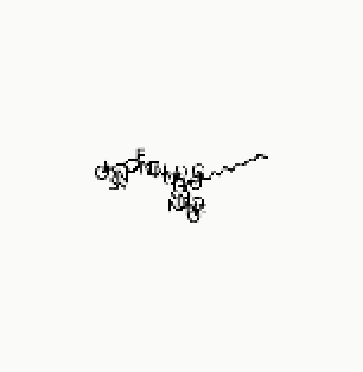 CCCCCCCCCCCC(=O)OCC(Cn1c([N+](=O)[O-])cnc1C)OC(=O)OCN1CCN(c2cc3c(cc2F)CC(C(C)=O)=C2SC(C)N23)CC1